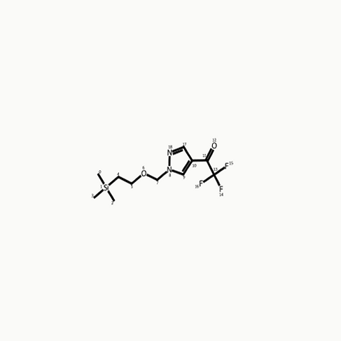 C[Si](C)(C)CCOCn1cc(C(=O)C(F)(F)F)cn1